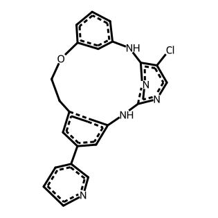 Clc1cnc2nc1Nc1cccc(c1)OCCc1cc(cc(-c3cccnc3)c1)N2